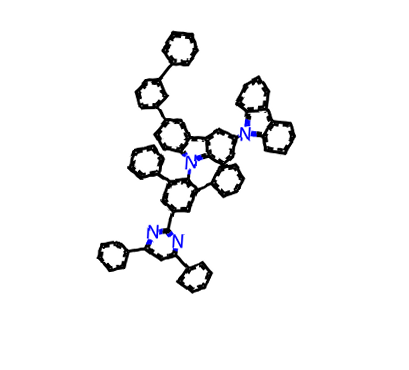 c1ccc(-c2cccc(-c3ccc4c(c3)c3cc(-n5c6ccccc6c6ccccc65)ccc3n4-c3c(-c4ccccc4)cc(-c4nc(-c5ccccc5)cc(-c5ccccc5)n4)cc3-c3ccccc3)c2)cc1